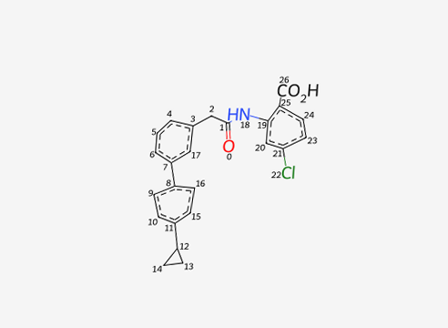 O=C(Cc1cccc(-c2ccc(C3CC3)cc2)c1)Nc1cc(Cl)ccc1C(=O)O